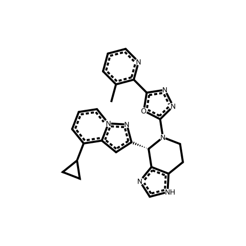 Cc1cccnc1-c1nnc(N2CCc3[nH]cnc3[C@@H]2c2cc3c(C4CC4)cccn3n2)o1